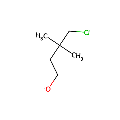 CC(C)(CCl)CC[O]